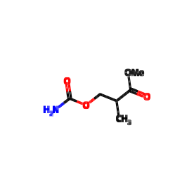 COC(=O)C(C)COC(N)=O